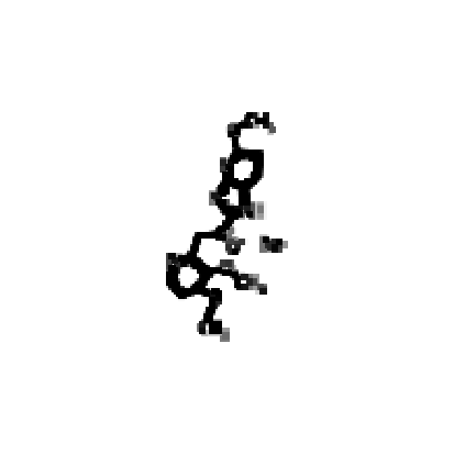 COc1ccc2[nH]c([S+]([O-])Cc3nccc(OC)c3OC)nc2n1.[Na]